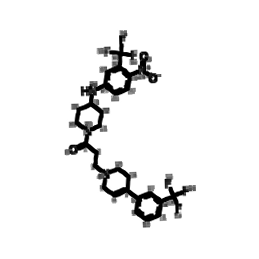 O=C(CCN1CC=C(c2cccc(C(F)(F)F)c2)CC1)N1CCC(Nc2ccc([N+](=O)[O-])c(C(F)(F)F)c2)CC1